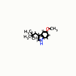 COc1ccc2[nH]cc(CC(C)(C)C)c2c1